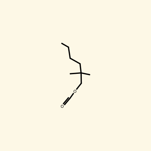 CCCCC(C)(C)COC=O